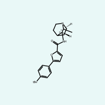 C[C@H]1[C@H](NC(=O)c2ccc(-c3ccc(C(C)(C)C)cc3)o2)C2CCN1CC2